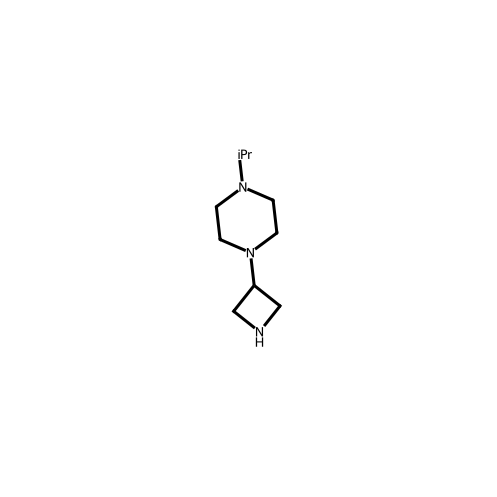 CC(C)N1CCN(C2CNC2)CC1